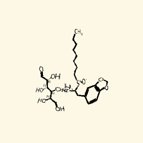 CCCCCCCC[S+]([O-])C(C)Cc1ccc2c(c1)OCO2.O=C[C@H](O)[C@@H](O)[C@@H](O)[C@H](O)CO